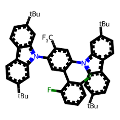 CC(C)(C)c1ccc2c3ccc(C(C)(C)C)cc3n(-c3cc(C(F)(F)F)c(-n4c5cc(C(C)(C)C)ccc5c5ccc(C(C)(C)C)cc54)cc3-c3c(F)cccc3F)c2c1